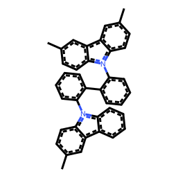 Cc1ccc2c(c1)c1ccccc1n2-c1ccccc1-c1ccccc1-n1c2ccc(C)cc2c2cc(C)ccc21